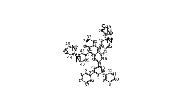 c1ccc(-c2cc(-c3ccccc3)cc(-c3ccc4c(-c5ccnc(-c6cscn6)c5)c5ccccc5c(-c5ccnc(-c6cscn6)c5)c4c3)c2)cc1